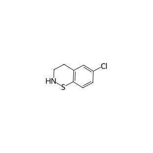 Clc1ccc2c(c1)CCNS2